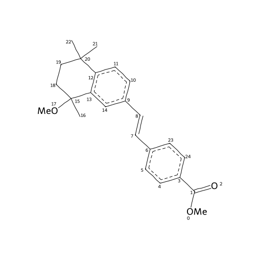 COC(=O)c1ccc(C=Cc2ccc3c(c2)C(C)(OC)CCC3(C)C)cc1